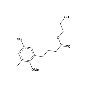 COc1c(C)cc(C(C)(C)C)cc1CCCC(=O)OCCO